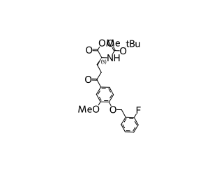 COC(=O)[C@H](CCC(=O)c1ccc(OCc2ccccc2F)c(OC)c1)NC(=O)OC(C)(C)C